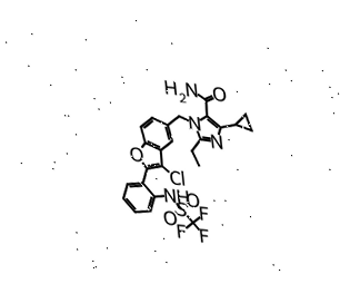 CCc1nc(C2CC2)c(C(N)=O)n1Cc1ccc2oc(-c3ccccc3NS(=O)(=O)C(F)(F)F)c(Cl)c2c1